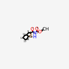 C#COC(=O)NC(=O)c1cc2ccccc2s1